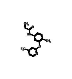 C=CC(=O)Nc1ccc(C)c(Oc2cc(C(F)(F)F)ccn2)c1